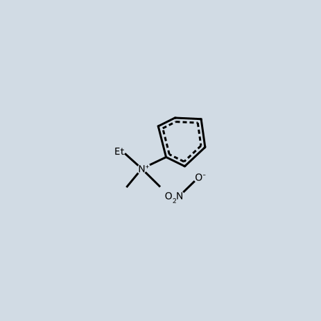 CC[N+](C)(C)c1ccccc1.O=[N+]([O-])[O-]